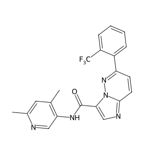 Cc1cc(C)c(NC(=O)c2cnc3ccc(-c4ccccc4C(F)(F)F)nn23)cn1